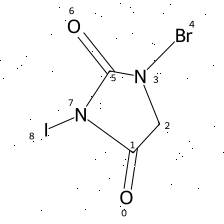 O=C1CN(Br)C(=O)N1I